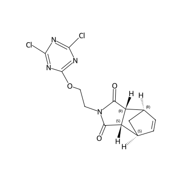 O=C1[C@@H]2[C@H](C(=O)N1CCOc1nc(Cl)nc(Cl)n1)[C@H]1C=C[C@@H]2C1